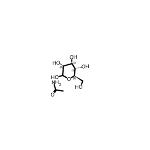 CC(N)=O.OC[C@H]1OC(O)[C@H](O)[C@@H](O)[C@@H]1O